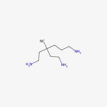 N#CC(CCN)(CCN)CCCN